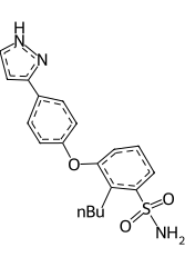 CCCCc1c(Oc2ccc(-c3cc[nH]n3)cc2)cccc1S(N)(=O)=O